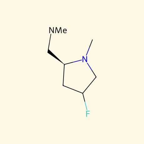 CNC[C@@H]1CC(F)CN1C